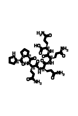 NC(=O)CC[C@H](NC(=O)[C@H](CCC(N)=O)NC(=O)[C@H](CCC(N)=O)NC(=O)[C@H](CCC(N)=O)NC(=O)[C@@H]1CCCN1C(=O)[C@@H]1CCCN1)C(=O)O